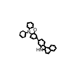 C1=CCCC(N2c3ccccc3Oc3cc(-c4ccc5c(c4)[nH]c4ccc6ccccc6c45)ccc32)=C1